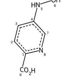 O=C(O)c1ccc(NO)cn1